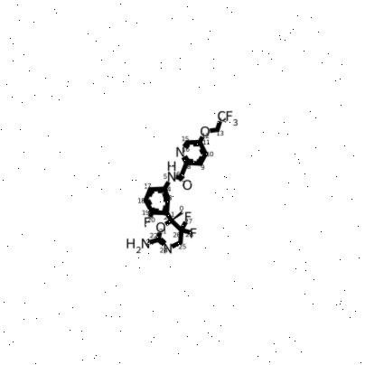 C[C@]1(c2cc(NC(=O)c3ccc(OCC(F)(F)F)cn3)ccc2F)OC(N)=NCC1(F)F